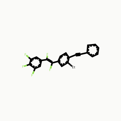 CCc1cc(/C(F)=C(\F)c2cc(F)c(F)c(F)c2)ccc1C#Cc1ccccc1